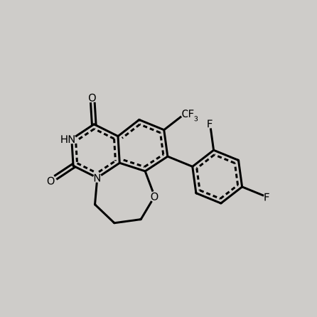 O=c1[nH]c(=O)n2c3c(c(-c4ccc(F)cc4F)c(C(F)(F)F)cc13)OCCC2